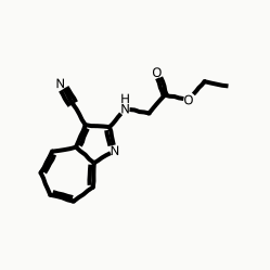 CCOC(=O)CNc1nc2cccccc-2c1C#N